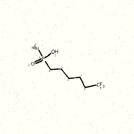 CCCCP(=O)(O)CCCCCC(F)(F)F